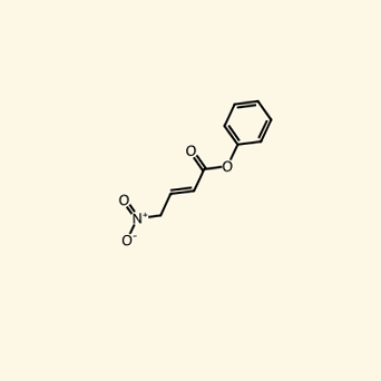 O=C(C=CC[N+](=O)[O-])Oc1ccccc1